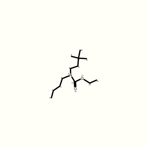 CCCCN(CCC(C)(C)C)C(=O)OCC